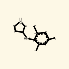 Cc1cc(C)c(NC2CCNC2)c(C)c1